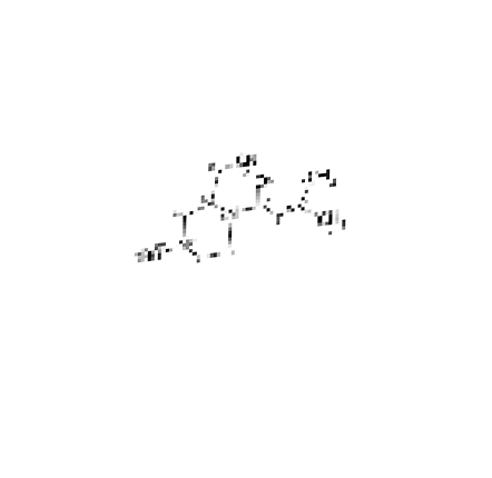 CC(C)=CC(=O)N1CCN(C(C)(C)C)CC1CC#N